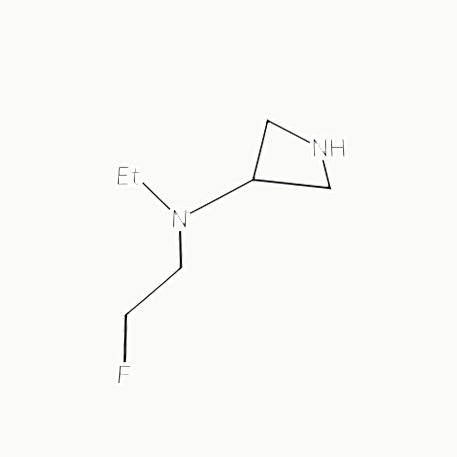 CCN(CCF)C1CNC1